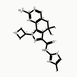 Cc1csc(NC(=O)c2nn(C3COC3)c3c2C(C)(C)Cc2cnc(N)nc2-3)n1